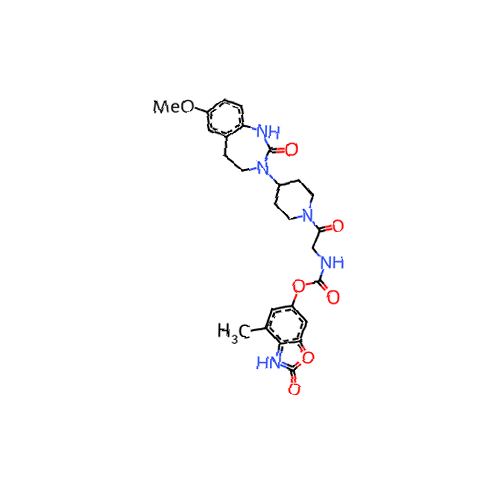 COc1ccc2c(c1)CCN(C1CCN(C(=O)CNC(=O)Oc3cc(C)c4[nH]c(=O)oc4c3)CC1)C(=O)N2